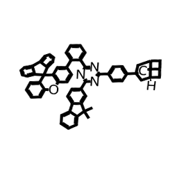 CC1(C)c2ccccc2-c2ccc(-c3nc(-c4ccc(C56CC7CC8C[C@@H](C5)C87C6)cc4)nc(-c4ccccc4-c4ccc5c(c4)C4(c6ccccc6O5)c5ccccc5-c5ccccc54)n3)cc21